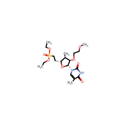 CCOP(=O)(CC[C@H]1O[C@@H](n2cc(C)c(=O)[nH]c2=O)[C@H](OCCOC)[C@@H]1C)OCC